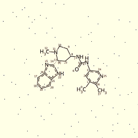 Cc1cc(NC(=O)NC2CCN(C)[C@@H](c3nc4ccccc4[nH]3)C2)cnc1C